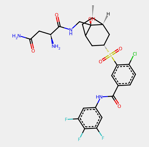 C[C@H]1CC2C[C@@H](S(=O)(=O)c3cc(C(=O)Nc4cc(F)c(F)c(F)c4)ccc3Cl)C[C@H]1[C@@]2(O)CNC(=O)[C@@H](N)CC(N)=O